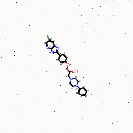 OC(COc1ccc(-c2nc3cc(Br)cnc3[nH]2)cc1)CN1CCN(c2ccccc2)CC1